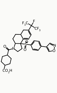 O=C(O)C1CCC(C(=O)N2CCC3(S(=O)(=O)c4ccc(-c5cnoc5)cc4)C4=CC=C(C(F)(C(F)(F)F)C(F)(F)F)CC4CCC23)CC1